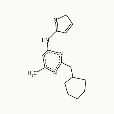 Cc1cc(NC2=NCC=C2)nc(CC2CCCCC2)n1